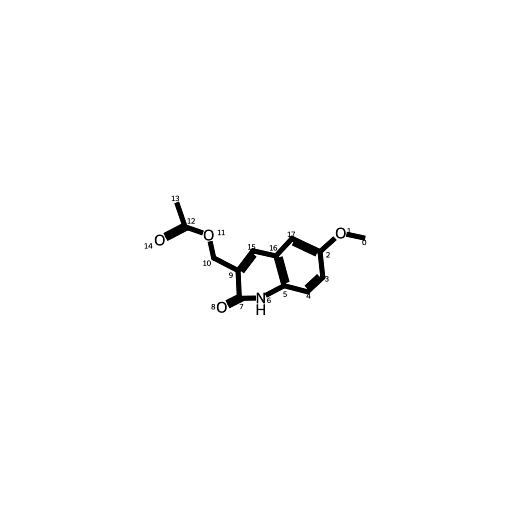 COc1ccc2[nH]c(=O)c(COC(C)=O)cc2c1